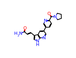 NC(=O)/C=C/c1c[nH]c2ncc(-c3ccc(C(=O)N4CCCC4)nc3)cc12